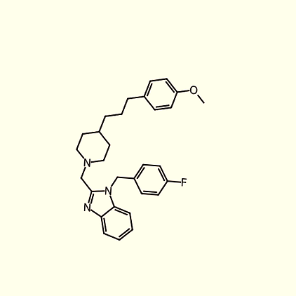 COc1ccc(CCCC2CCN(Cc3nc4ccccc4n3Cc3ccc(F)cc3)CC2)cc1